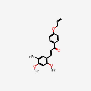 C=CCOc1ccc(C(=O)C=Cc2cc(CCC)c(OC(C)C)cc2OC(C)C)cc1